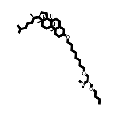 CCCCOC[C@@H](COCCCCCCCCOC1CC[C@@]2(C)C(=CC[C@H]3[C@@H]4CC[C@H]([C@H](C)CCCC(C)C)[C@@]4(C)CC[C@@H]32)C1)N(C)C